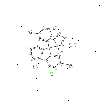 Cc1cccc(C(c2cccc(C)c2)(c2cccc(C)c2)[C]2([Ti+3])C=CC(C(C)(C)C)=C2)c1.[Cl-].[Cl-].[Cl-]